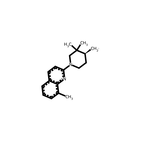 [CH2][C@H]1CCN(c2ccc3cccc(C)c3n2)CC1(C)C